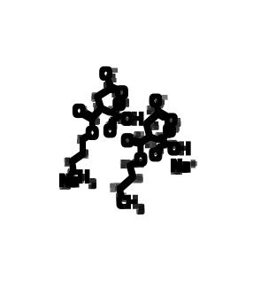 CCCCOC(=O)C(CC(=O)[O-])S(=O)(=O)O.CCCCOC(=O)C(CC(=O)[O-])S(=O)(=O)O.[Na+].[Na+]